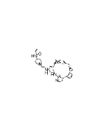 C=CC(=O)NC1CCN(CCNc2cc3cc(c2)Nc2nccc(n2)-c2cccc(c2)OCC/C=C/CN(C)C3)CC1